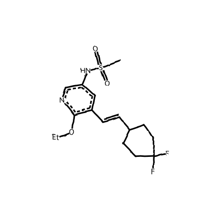 CCOc1ncc(NS(C)(=O)=O)cc1C=CC1CCC(F)(F)CC1